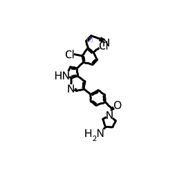 N#C/C=C\c1c(Cl)ccc(-c2c[nH]c3ncc(-c4ccc(C(=O)N5CCC(N)C5)cc4)cc23)c1Cl